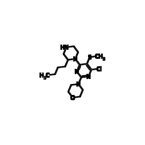 CCCCC1CNCCN1c1nc(N2CCOCC2)nc(Cl)c1SC